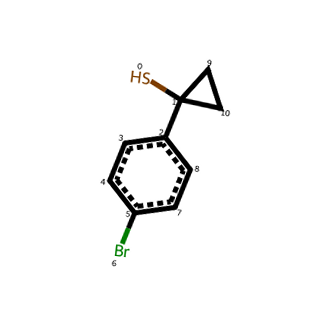 SC1(c2ccc(Br)cc2)CC1